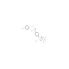 CC(C)(C)c1ccc(C2CC2C(=O)Nc2ccc(-n3nc(C(F)(F)F)cc3C3CC3)cc2)cc1